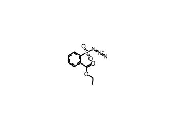 CCOC(=O)c1ccccc1S(=O)(=O)N=[N+]=[N-]